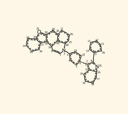 C1=CN(c2ccc(-n3c(-c4ccccc4)nc4ccccc43)cc2)c2cccc3cc4oc5ccccc5c4c1c23